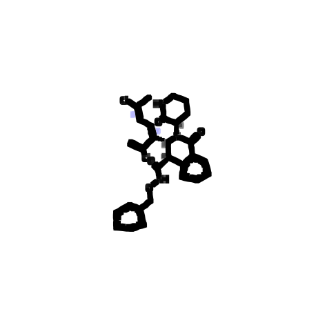 C=C(Cl)/C(=C\C=C(/C)Cl)[C@H]1[C@H](C(=O)NOCc2ccccc2)c2ccccc2C(=O)N1[C@@H]1CCCNC1=O